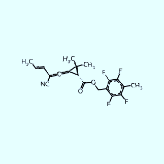 C/C=C/C(=C=C1[C@@H](C(=O)OCc2c(F)c(F)c(C)c(F)c2F)C1(C)C)C#N